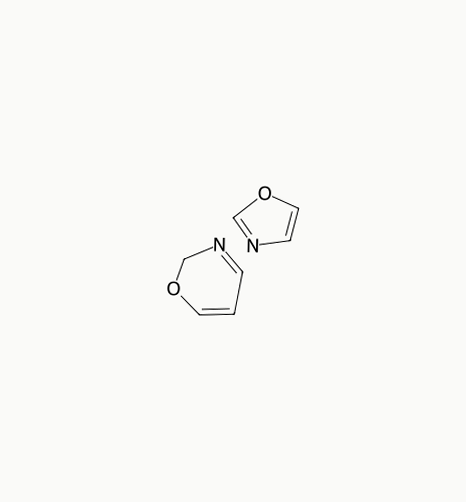 C1=COCN=C1.c1cocn1